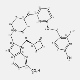 N#Cc1ccc(COc2cccc(OC3CCN(Cc4nc5ccc(C(=O)O)cc5n4C[C@@H]4CCO4)CC3)n2)c(F)c1